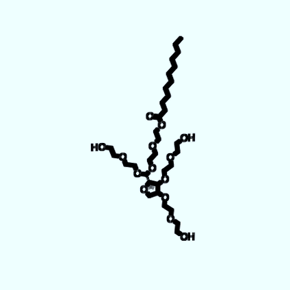 CCCCCCCCCCCC(=O)OCCOCCOC(OCCOCCO)[C@H]1OCC(OCCOCCO)C1OCCOCCO